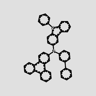 c1ccc(-c2cccc(N(c3ccc4c5ccccc5c5ccccc5c4c3)c3ccc4c(c3)c3ccccc3n4-c3ccccc3)c2)cc1